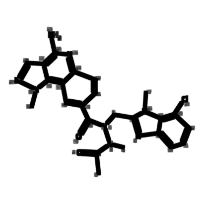 CC(=O)N(C)N(Cc1nc2cccc(Cl)c2n1C)C(=O)c1ccc2nc(N)c3cnn(C)c3c2c1